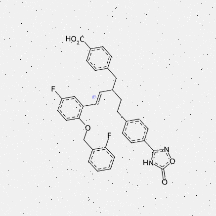 O=C(O)c1ccc(CC(/C=C/c2cc(F)ccc2OCc2ccccc2F)CCc2ccc(-c3noc(=O)[nH]3)cc2)cc1